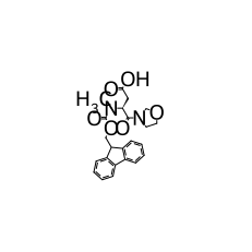 CN(C(=O)OCC1c2ccccc2-c2ccccc21)[C@@H](CC(=O)O)C(=O)N1CCOC1